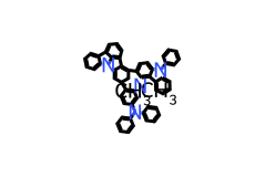 CN1c2cc(N(c3ccccc3)c3ccccc3)ccc2C2(C)C=c3c(c4cccc5c6ccccc6n3c45)=C(C2)c2ccc3c(c21)c1ccccc1n3-c1ccccc1